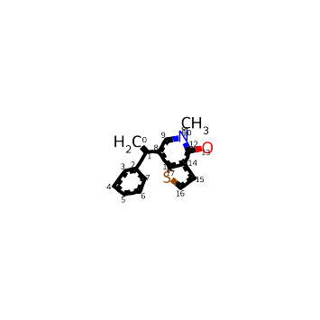 C=C(c1ccccc1)c1cn(C)c(=O)c2ccsc12